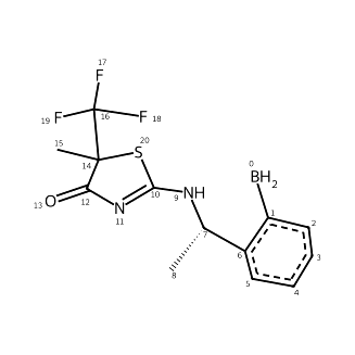 Bc1ccccc1[C@H](C)NC1=NC(=O)C(C)(C(F)(F)F)S1